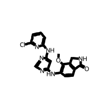 COc1c(Nc2cc(Nc3cccc(Cl)n3)ncn2)ccc2c1CNC2=O